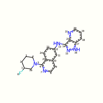 FC1CCCN(c2nccc3cc(Nc4n[nH]c5cccnc45)ccc23)C1